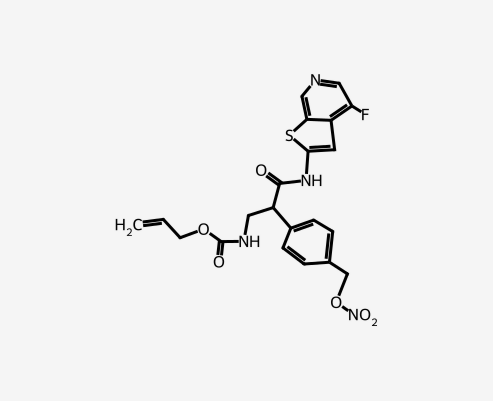 C=CCOC(=O)NCC(C(=O)Nc1cc2c(F)cncc2s1)c1ccc(CO[N+](=O)[O-])cc1